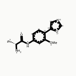 COc1cc(NC(=O)[C@H](N)C(C)C)ccc1-c1cnco1